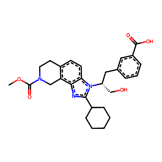 COC(=O)N1CCc2ccc3c(nc(C4CCCCC4)n3[C@@H](CO)Cc3cccc(C(=O)O)c3)c2C1